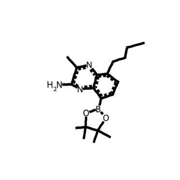 CCCCc1ccc(B2OC(C)(C)C(C)(C)O2)c2nc(N)c(C)nc12